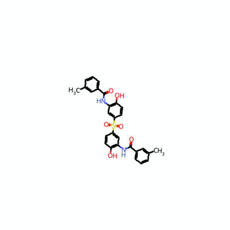 Cc1cccc(C(=O)Nc2cc(S(=O)(=O)c3ccc(O)c(NC(=O)c4cccc(C)c4)c3)ccc2O)c1